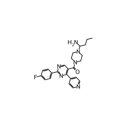 CCCC(N)N1CCN(C(=O)c2cnc(-c3ccc(F)cc3)nc2-c2ccncc2)CC1